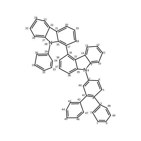 c1ccc(-c2ccc(-n3c4ccccc4c4c(-c5cccc6c7ccccc7n(-c7ccccc7)c56)cccc43)cc2-c2ccccc2)cc1